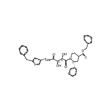 O=C(OCc1ccccc1)C1CCN(C(=O)[C@H](O)[C@@H](O)C(=O)NCc2csc(Cc3ccccc3)c2)[C@@H](c2ccccc2)C1